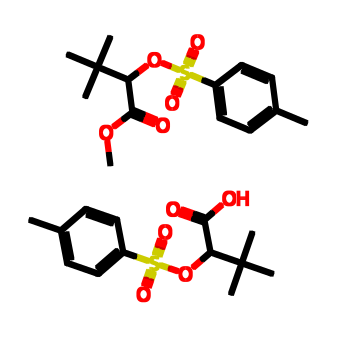 COC(=O)C(OS(=O)(=O)c1ccc(C)cc1)C(C)(C)C.Cc1ccc(S(=O)(=O)OC(C(=O)O)C(C)(C)C)cc1